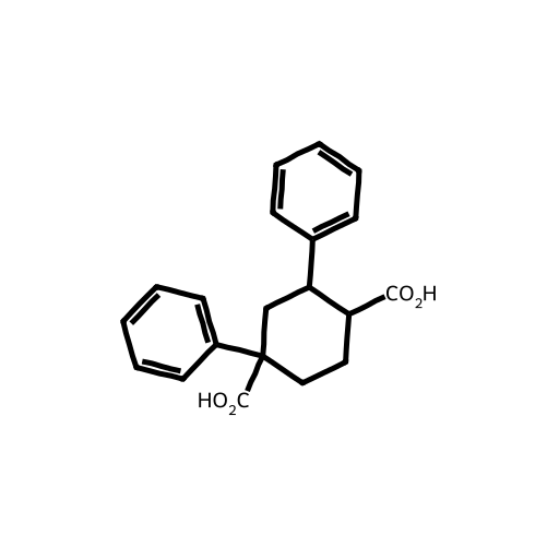 O=C(O)C1CCC(C(=O)O)(c2ccccc2)CC1c1ccccc1